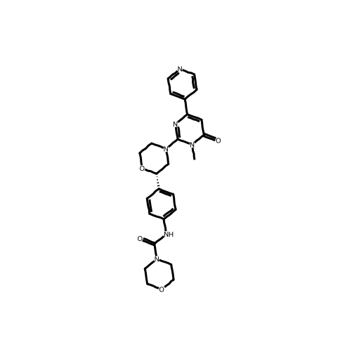 Cn1c(N2CCO[C@@H](c3ccc(NC(=O)N4CCOCC4)cc3)C2)nc(-c2ccncc2)cc1=O